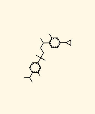 CC(C)c1ccc(C(C)(C)CCC(C)c2ccc(C3CC3)cc2Cl)cc1Cl